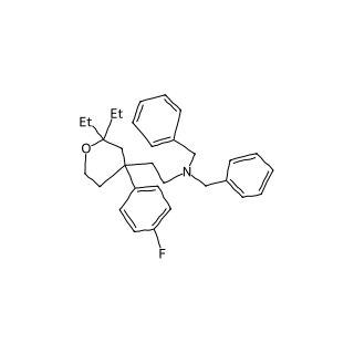 CCC1(CC)CC(CCN(Cc2ccccc2)Cc2ccccc2)(c2ccc(F)cc2)CCO1